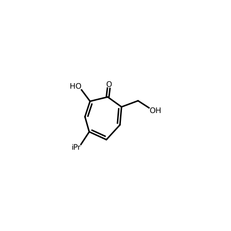 CC(C)c1ccc(CO)c(=O)c(O)c1